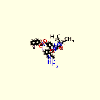 CCCCN(CCCC)C(=O)c1cn(C)c(-c2ccc(C(=O)NS(=O)(=O)c3ccc4cccc(I)c4c3)cc2C(=O)c2cccc3c2CC(CN)NC3)n1